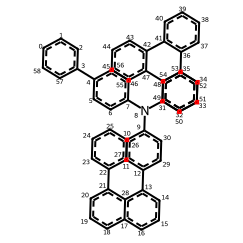 c1ccc(-c2ccc(N(c3ccc(-c4cccc5cccc(-c6ccccc6)c45)cc3)c3cccc(-c4ccccc4-c4ccccc4-c4ccccc4)c3)cc2)cc1